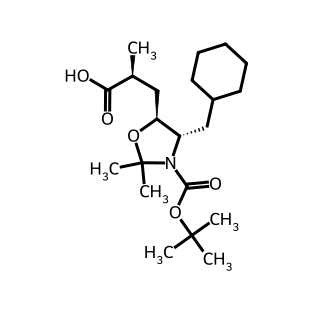 C[C@@H](C[C@@H]1OC(C)(C)N(C(=O)OC(C)(C)C)[C@H]1CC1CCCCC1)C(=O)O